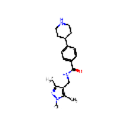 Cc1nn(C)c(C)c1CNC(=O)c1ccc(C2CCNCC2)cc1